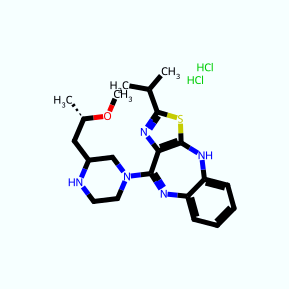 CO[C@@H](C)CC1CN(C2=Nc3ccccc3Nc3sc(C(C)C)nc32)CCN1.Cl.Cl